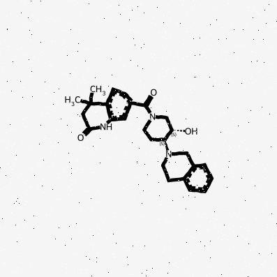 CC1(C)CC(=O)Nc2cc(C(=O)N3CC[C@H](N4CCc5ccccc5C4)[C@@H](O)C3)ccc21